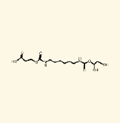 O=C(O)CCOC(=O)NCCCCCCNC(=O)OC(O)CO